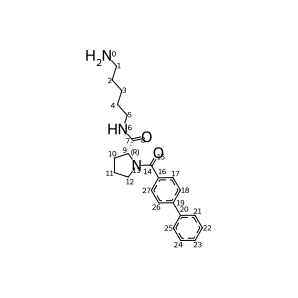 NCCCCCNC(=O)[C@H]1CCCN1C(=O)c1ccc(-c2ccccc2)cc1